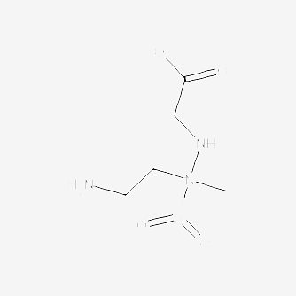 C[N+](CCN)(NCC(=O)O)[SH](=O)=O